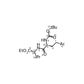 CCOC(=O)[C@@H](NC(=O)[C@H](CCC(C)=O)NC(=O)OC(C)(C)C)C(C)C